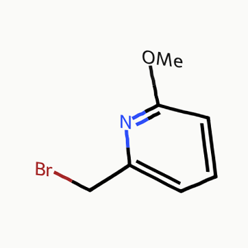 COc1cccc(CBr)n1